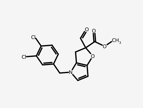 COC(=O)C1(C=O)Cc2c(ccn2Cc2ccc(Cl)c(Cl)c2)O1